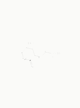 Cl.N=C1NCCCC1OCC(=O)O